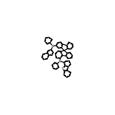 c1ccc(N(c2ccc3c(c2)C2(c4ccccc4-3)c3ccccc3-c3c(N(c4ccccc4)c4cccc5c4sc4ccccc45)cccc32)c2ccc3ccccc3c2)cc1